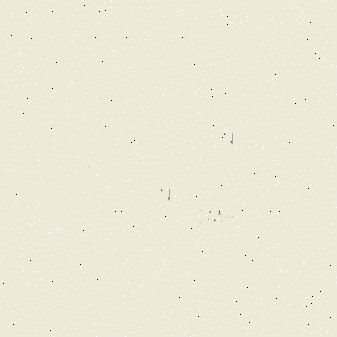 CSN1CCOCC1CN(C)C